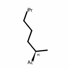 CC(=O)[C@H](C)CCCC(C)C